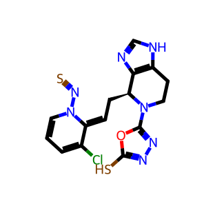 S=NN1C=CC=C(Cl)/C1=C/C[C@H]1c2nc[nH]c2CCN1c1nnc(S)o1